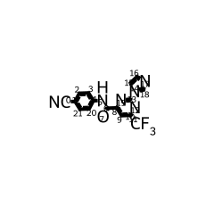 N#Cc1ccc(NC(=O)c2cc(C(F)(F)F)nc(-n3ccnc3)n2)cc1